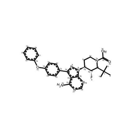 CC(C)(C)C1[C@H](F)[C@@H](n2nc(-c3ccc(Oc4ccccc4)cc3)c3c(N)ncnc32)CCN1C(=O)O